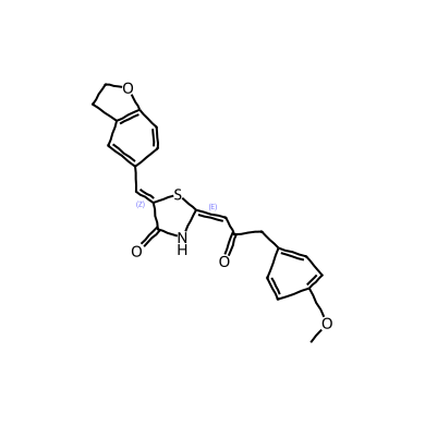 COc1ccc(CC(=O)/C=c2\[nH]c(=O)/c(=C/c3ccc4c(c3)CCO4)s2)cc1